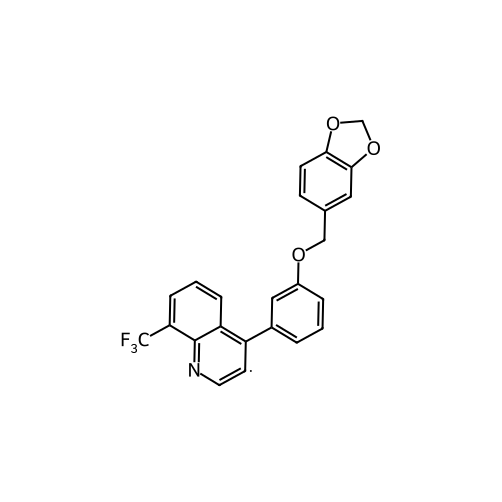 FC(F)(F)c1cccc2c(-c3cccc(OCc4ccc5c(c4)OCO5)c3)[c]cnc12